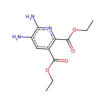 CCOC(=O)c1cc(N)c(N)nc1C(=O)OCC